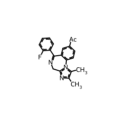 CC(=O)c1ccc2c(c1)C(c1ccccc1F)=NCc1nc(C)c(C)n1-2